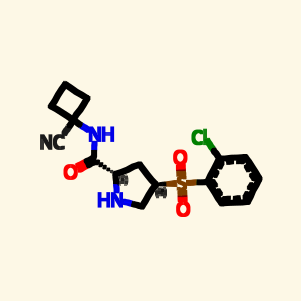 N#CC1(NC(=O)[C@@H]2C[C@@H](S(=O)(=O)c3ccccc3Cl)CN2)CCC1